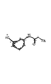 N#CCC(=O)Nc1cccc(O)c1